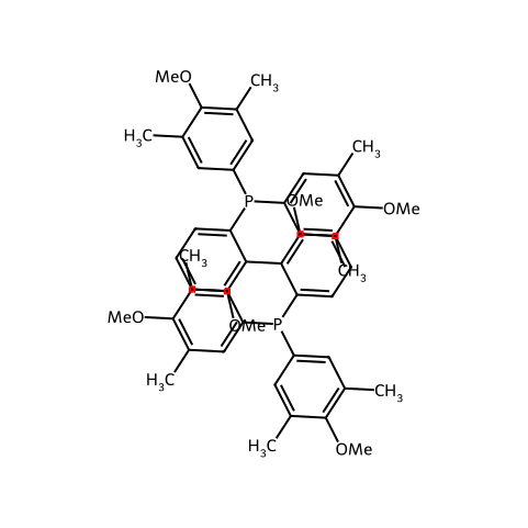 COc1cccc(P(c2cc(C)c(OC)c(C)c2)c2cc(C)c(OC)c(C)c2)c1-c1c(OC)cccc1P(c1cc(C)c(OC)c(C)c1)c1cc(C)c(OC)c(C)c1